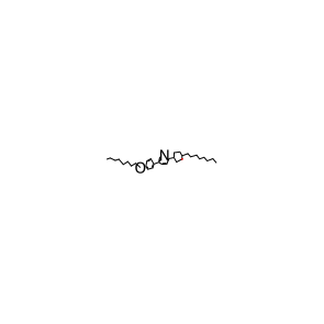 CCCCCCCCOc1ccc(-c2ccc(C3CCC(CCCCCCCC)CC3)nc2)cc1